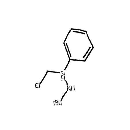 CC(C)(C)N[SiH](CCl)c1ccccc1